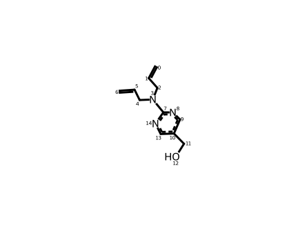 C=CCN(CC=C)c1ncc(CO)cn1